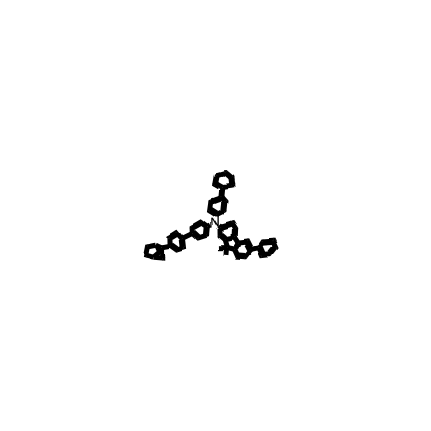 CC1(C)c2ccc(-c3ccccc3)cc2-c2ccc(N(c3ccc(-c4ccc(C5CC6CCC5C6)cc4)cc3)c3ccc(C4CCCCC4)cc3)cc21